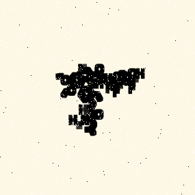 CCOc1cc2ncc(C(N)=O)c(Nc3cccc(CNC(=O)[C@@H](N)CC(C)C)c3CC)c2cc1OCC.O=C(O)C(F)(F)F.O=C(O)C(F)(F)F